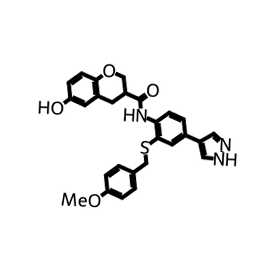 COc1ccc(CSc2cc(-c3cn[nH]c3)ccc2NC(=O)C2COc3ccc(O)cc3C2)cc1